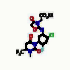 CCOC(=O)CN1C(=O)COC1=Nc1cc(-n2c(=O)cc(C(F)(F)F)n(C)c2=O)c(F)cc1Cl